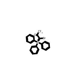 O=C(C(Br)=P(c1ccccc1)(c1ccccc1)c1ccccc1)C(F)(F)F